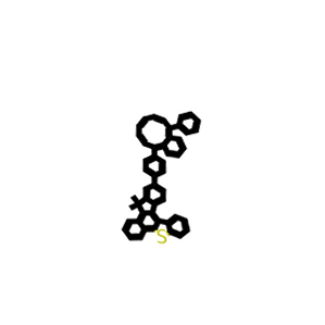 CC1(C)c2cc(-c3ccc(-c4ccccccc(-c5ccccc5)c5ccccc45)cc3)ccc2-c2c1c1ccccc1c1sc3ccccc3c21